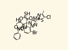 CO[C@H]1[C@@H](S)O[C@@H]2COC(c3ccccc3)O[C@@H]2C1(c1cc(Br)ccc1C#N)n1cc(-c2nc(C)c(Cl)s2)nn1